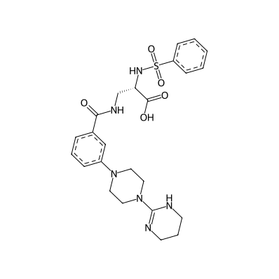 O=C(NC[C@H](NS(=O)(=O)c1ccccc1)C(=O)O)c1cccc(N2CCN(C3=NCCCN3)CC2)c1